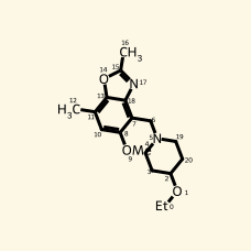 CCOC1CCN(Cc2c(OC)cc(C)c3oc(C)nc23)CC1